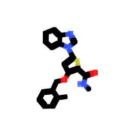 CNC(=O)c1sc(-n2cnc3ccccc32)cc1OCc1ccccc1C